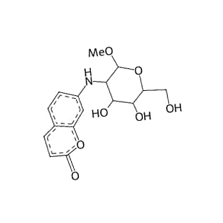 COC1OC(CO)C(O)C(O)C1Nc1ccc2ccc(=O)oc2c1